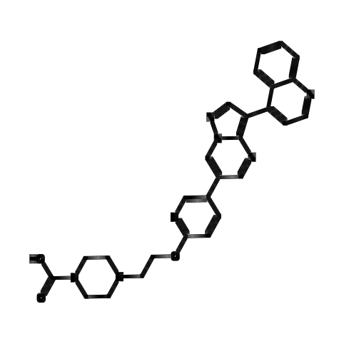 O=C(O)N1CCN(CCOc2ccc(-c3cnc4c(-c5ccnc6ccccc56)cnn4c3)cn2)CC1